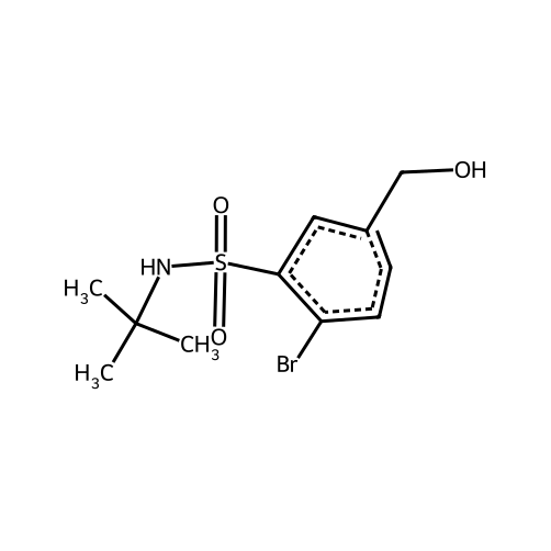 CC(C)(C)NS(=O)(=O)c1cc(CO)ccc1Br